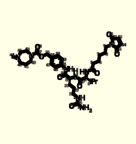 CC(C)[C@H](NC(=O)CCCCCN1C(=O)C=CC1=O)C(=O)N[C@@H](CCCNC(N)=O)C(=O)Nc1ccc(COC(=O)N2CCCN(C)CC2)cc1